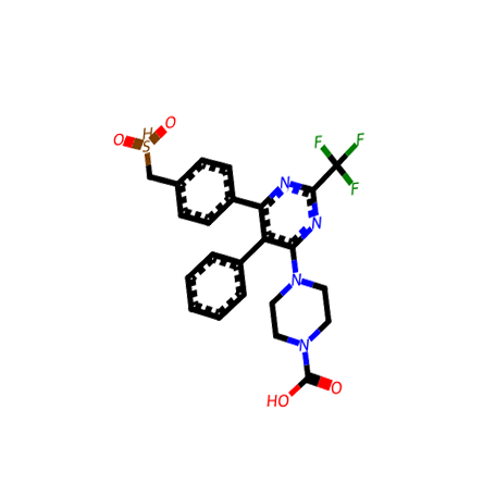 O=C(O)N1CCN(c2nc(C(F)(F)F)nc(-c3ccc(C[SH](=O)=O)cc3)c2-c2ccccc2)CC1